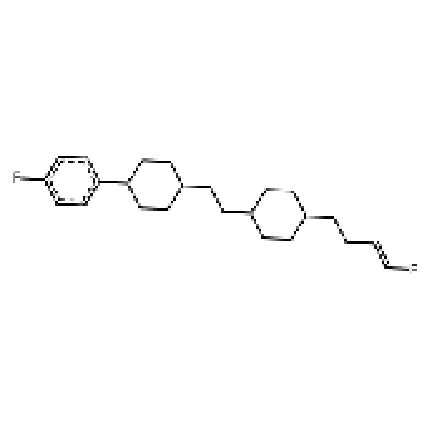 FC=CCCC1CCC(CCC2CCC(c3ccc(F)cc3)CC2)CC1